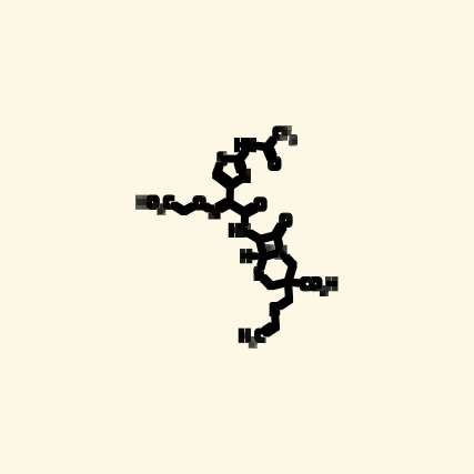 C=CSCC1(C(=O)O)CS[C@@H]2C(NC(=O)C(=NOCC(=O)O)c3csc(NC(=O)C(F)(F)F)n3)C(=O)N2C1